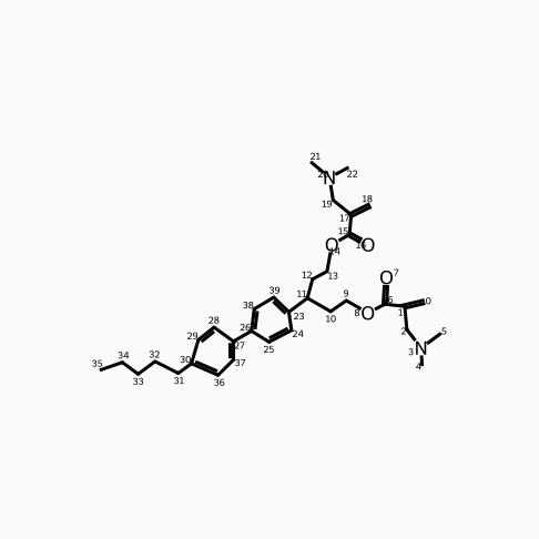 C=C(CN(C)C)C(=O)OCCC(CCOC(=O)C(=C)CN(C)C)c1ccc(-c2ccc(CCCCC)cc2)cc1